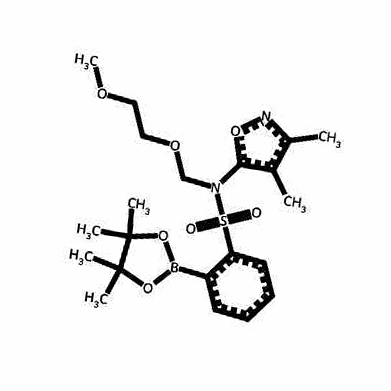 COCCOCN(c1onc(C)c1C)S(=O)(=O)c1ccccc1B1OC(C)(C)C(C)(C)O1